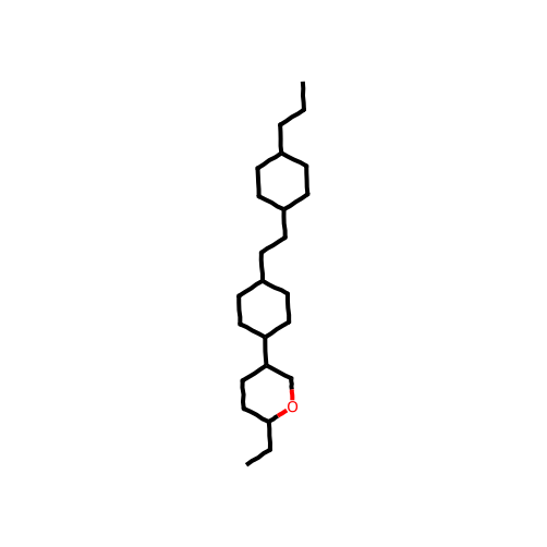 CCCC1CCC(CCC2CCC(C3CCC(CC)OC3)CC2)CC1